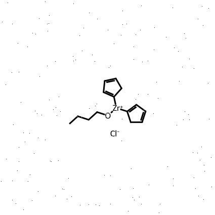 CCCC[O][Zr+]([C]1=CC=CC1)[C]1=CC=CC1.[Cl-]